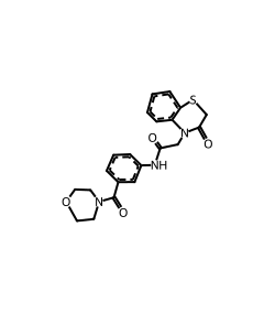 O=C(CN1C(=O)CSc2ccccc21)Nc1cccc(C(=O)N2CCOCC2)c1